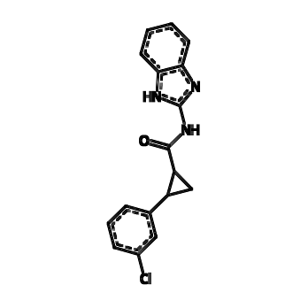 O=C(Nc1nc2ccccc2[nH]1)C1CC1c1cccc(Cl)c1